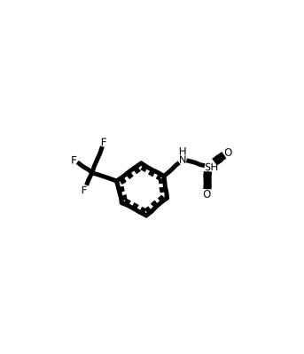 O=[SH](=O)Nc1cccc(C(F)(F)F)c1